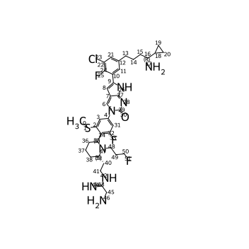 CSc1cc(-n2cc3cc(-c4cc(CCC[C@@H](N)C5CC5)cc(Cl)c4F)[nH]c3nc2=O)cc(F)c1[C@@H]1CCC[C@@H](CCNC(=N)CN)N1CCCF